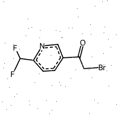 O=C(CBr)c1ccc(C(F)F)nc1